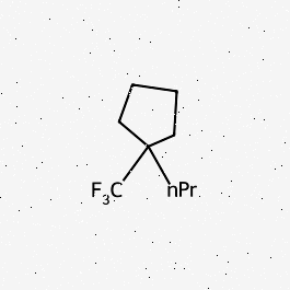 CCCC1(C(F)(F)F)CCCC1